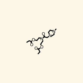 CCC(=O)OCCN(CCOC(=O)CC)C(=O)CN1CCN(C)CC1